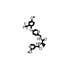 COc1ccc(Oc2ccc(CNC(=O)C3(NC(=O)c4ccnc(OC)c4)CC3)nc2)c(C(F)(F)F)c1